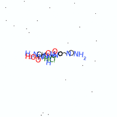 CC(N)(CO)C(=O)N1CCN(C(=O)Nc2ccn(-c3ccc(CCN4CCCC(N)CC4)cc3)c(=O)n2)CC1.Cl